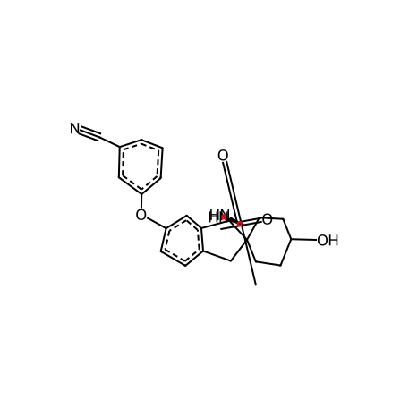 N#Cc1cccc(Oc2ccc3c(c2)C2(NC(=O)NC2=O)C2(CCC(O)CC2)C3)c1